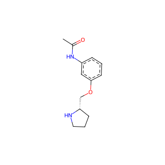 CC(=O)Nc1cccc(OC[C@@H]2CCCN2)c1